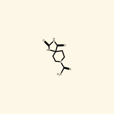 NC(=O)N1CCC2(CC1)NC(=O)NC2=O